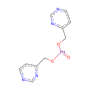 O=[PH](OCc1ccncn1)OCc1ccncn1